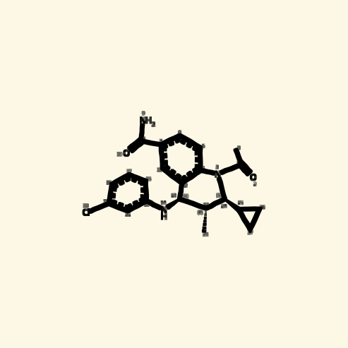 CC(=O)N1c2ccc(C(N)=O)cc2[C@H](Nc2cccc(Cl)c2)[C@@H](C)[C@@H]1C1CC1